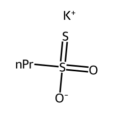 CCCS(=O)([O-])=S.[K+]